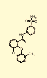 Cc1ncccc1Oc1c(C(=O)Nc2cccc(S(N)(=O)=O)c2)cccc1C(F)(F)F